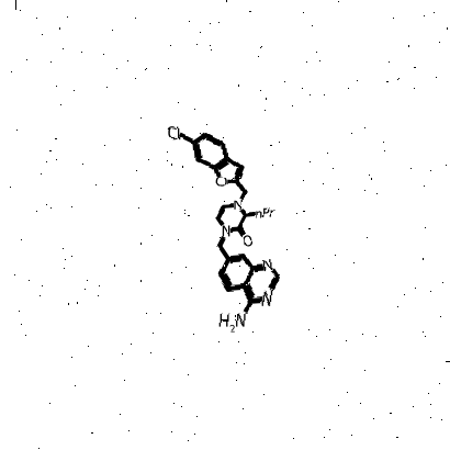 CCCC1C(=O)N(Cc2ccc3c(N)ncnc3c2)CCN1Cc1cc2ccc(Cl)cc2o1